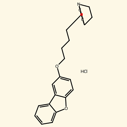 Cl.c1ccc2c(c1)oc1ccc(OCCCCC3CN4CCC3CC4)cc12